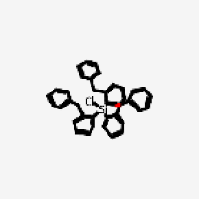 Cl[Si](c1ccccc1Cc1ccccc1)(c1ccccc1Cc1ccccc1)c1ccccc1Cc1ccccc1